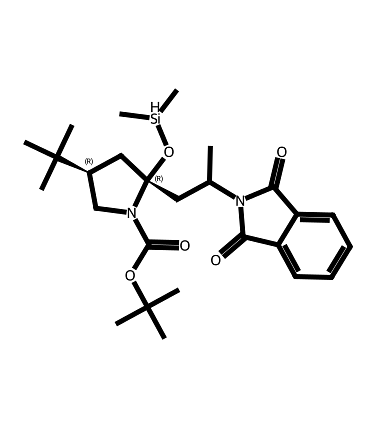 CC(C[C@]1(O[SiH](C)C)C[C@H](C(C)(C)C)CN1C(=O)OC(C)(C)C)N1C(=O)c2ccccc2C1=O